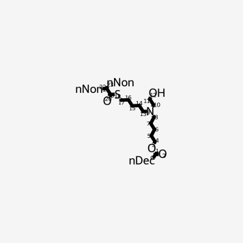 CCCCCCCCCCC(=O)OCCCCCN(CCO)CCCCCSC(=O)C(CCCCCCCCC)CCCCCCCCC